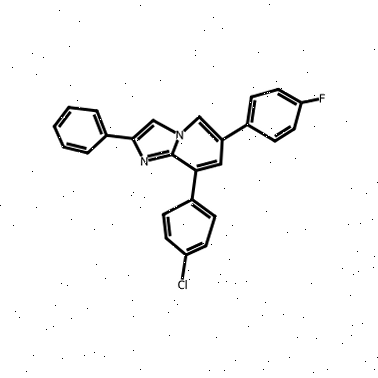 Fc1ccc(-c2cc(-c3ccc(Cl)cc3)c3nc(-c4ccccc4)cn3c2)cc1